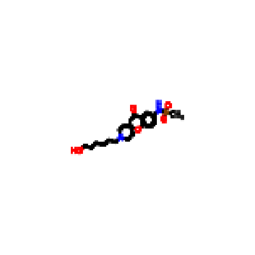 CS(=O)(=O)Nc1ccc2c(c1)C(=O)CC1(CCN(CCCCCCO)CC1)O2